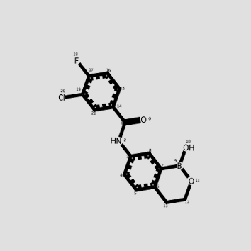 O=C(Nc1ccc2c(c1)B(O)OCC2)c1ccc(F)c(Cl)c1